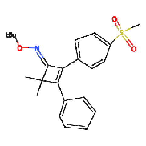 CC(C)(C)O/N=C1/C(c2ccc(S(C)(=O)=O)cc2)=C(c2ccccc2)C1(C)C